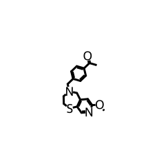 COc1cc2c(cn1)SCCN(Cc1ccc(C(C)=O)cc1)C2